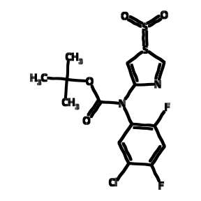 CC(C)(C)OC(=O)N(C1=CS(=S(=O)=O)C=N1)c1cc(Cl)c(F)cc1F